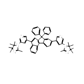 CC1=NC(C)(C)C(C)(C)N1c1cncc(-c2ccc3c(c2)C(c2ccccc2)(c2ccccc2)c2cc(-c4cncc(N5C(C)=NC(C)(C)C5(C)C)c4)c4ccccc4c2-3)c1